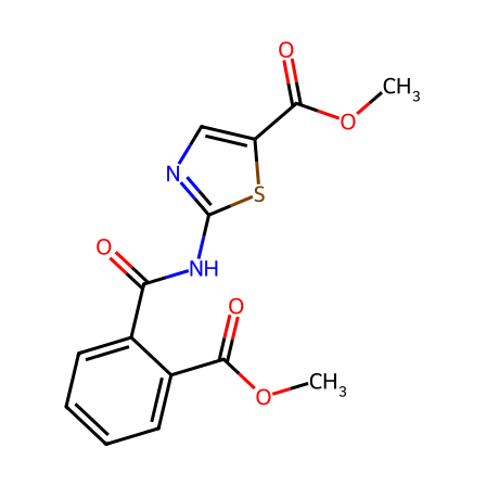 COC(=O)c1cnc(NC(=O)c2ccccc2C(=O)OC)s1